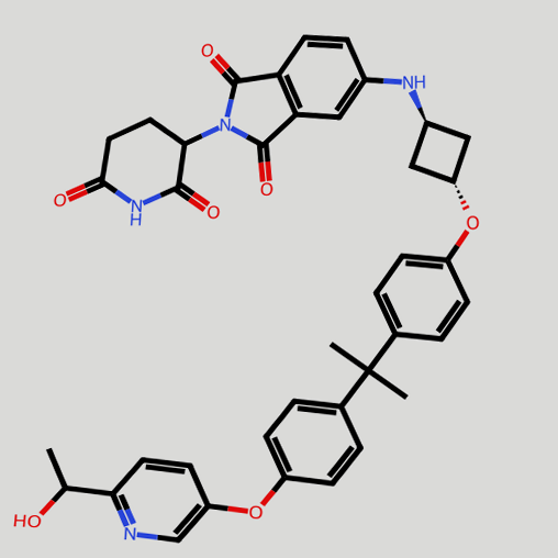 CC(O)c1ccc(Oc2ccc(C(C)(C)c3ccc(O[C@H]4C[C@H](Nc5ccc6c(c5)C(=O)N(C5CCC(=O)NC5=O)C6=O)C4)cc3)cc2)cn1